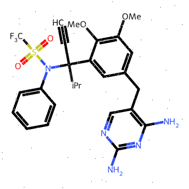 C#CC(c1cc(Cc2cnc(N)nc2N)cc(OC)c1OC)(C(C)C)N(c1ccccc1)S(=O)(=O)C(F)(F)F